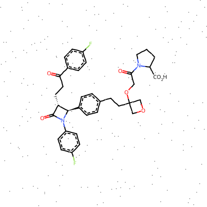 O=C(CC[C@H]1C(=O)N(c2ccc(F)cc2)[C@@H]1c1ccc(CCC2(OCC(=O)N3CCCC3C(=O)O)COC2)cc1)c1ccc(F)cc1